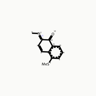 C/N=C1\C=Cc2c(SC)cccc2C1=O